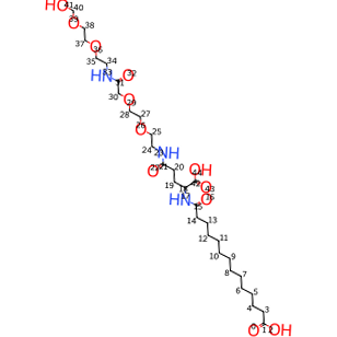 O=C(O)CCCCCCCCCCCCC(=O)NC(CCC(=O)NCCOCCOCC(=O)NCCOCCOCO)C(=O)O